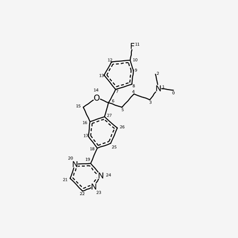 CN(C)CCCC1(c2ccc(F)cc2)OCc2cc(-c3nccnn3)ccc21